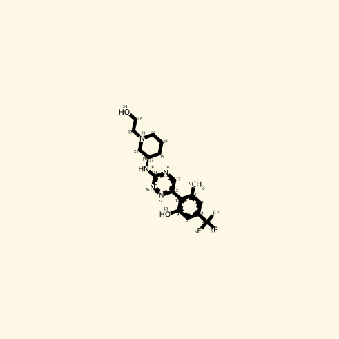 Cc1cc(C(F)(F)F)cc(O)c1-c1cnc(N[C@@H]2CCCN(CCO)C2)nn1